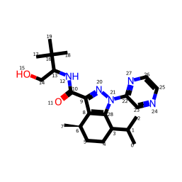 CC(C)C1CC[C@@H](C)c2c(C(=O)NC(CO)C(C)(C)C)nn(-c3cnccn3)c21